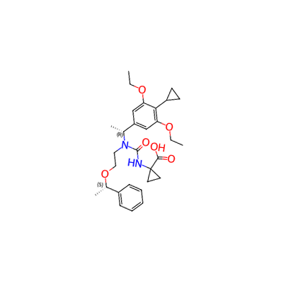 CCOc1cc([C@@H](C)N(CCO[C@@H](C)c2ccccc2)C(=O)NC2(C(=O)O)CC2)cc(OCC)c1C1CC1